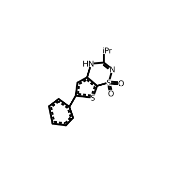 CC(C)C1=NS(=O)(=O)c2sc(-c3ccccc3)cc2N1